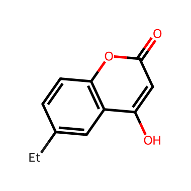 CCc1ccc2oc(=O)cc(O)c2c1